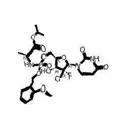 COc1ccccc1COP(=O)(N[C@@H](C)C(=O)OC(C)C)OC[C@H]1O[C@@H](n2ccc(=O)[nH]c2=O)[C@@](F)(Cl)[C@@H]1O